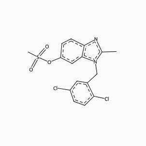 Cc1nc2ccc(OS(C)(=O)=O)cc2n1Cc1cc(Cl)ccc1Cl